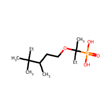 CCC(C)(C)C(C)CCOC(C)(CC)P(=O)(O)O